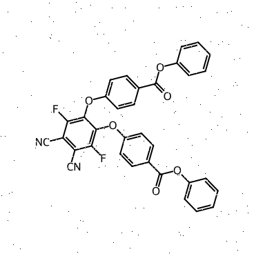 N#Cc1c(F)c(Oc2ccc(C(=O)Oc3ccccc3)cc2)c(Oc2ccc(C(=O)Oc3ccccc3)cc2)c(F)c1C#N